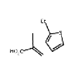 C=C(C)C(=O)O.CCc1cccs1